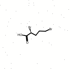 O=C(O)[C@@H](Br)CCCBr